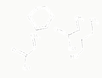 C=CC(=O)O.C=CC(=O)O.CCCCO.c1ccccc1